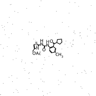 CC(=O)OCc1csc(NC(=O)Nc2ccc(C)cc2C(=O)C2CCCC2)n1